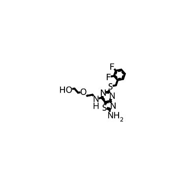 Nc1nc2nc(SCc3cccc(F)c3F)nc(NCCOCCO)c2s1